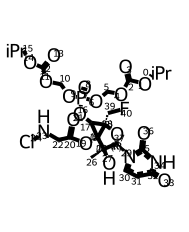 CC(C)OC(=O)OCOP(=O)(OCOC(=O)OC(C)C)OC1[C@]2(OC(=O)CNCl)[C@@](C)(O)[C@H](n3ccc(=O)[nH]c3=O)O[C@]12CF